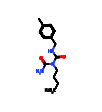 CCOC(=O)CCCN(C(N)=O)C(=O)NCc1ccc(C)cc1